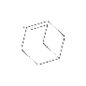 [C]1=C2CC(CC1)C2